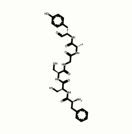 C[C@H](NC(=O)CNC(=O)[C@H](CO)NC(=O)[C@H](CS)NC(=O)[C@@H](N)Cc1ccccc1)C(=O)N[C@H](C=O)Cc1ccc(O)cc1